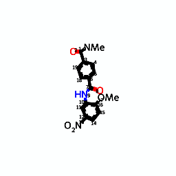 CNC(=O)c1ccc(C(=O)Nc2cc([N+](=O)[O-])ccc2OC)cc1